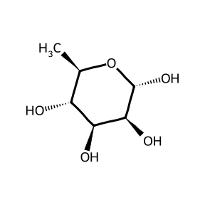 C[C@H]1O[C@H](O)[C@@H](O)[C@@H](O)[C@@H]1O